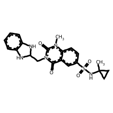 Cn1c(=O)n(CC2Nc3ccccc3N2)c(=O)c2cc(S(=O)(=O)NC3(C)CC3)ccc21